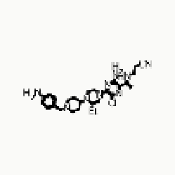 C=C(NCCC#N)c1nc(Cl)c(N2CCN(C3CCN(Cc4ccc(N)cc4)CC3)[C@@H](CC)C2)nc1N